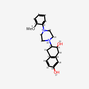 COc1ccccc1N1CCN(C2Cc3ccc(O)cc3CC2O)CC1